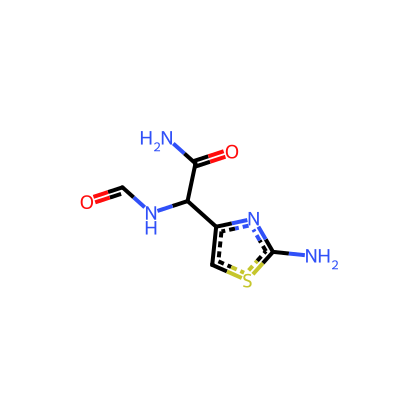 NC(=O)C(NC=O)c1csc(N)n1